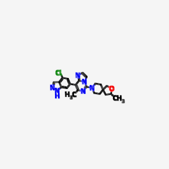 Cc1nc(N2CCC3(CC2)CO[C@@H](C)C3)n2ccnc2c1-c1cc(Cl)c2cn[nH]c2c1